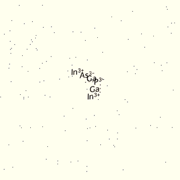 [As-3].[Ga].[Ga].[In+3].[In+3].[P-3]